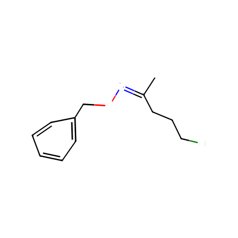 CC(CCCCl)=NOCc1ccccc1